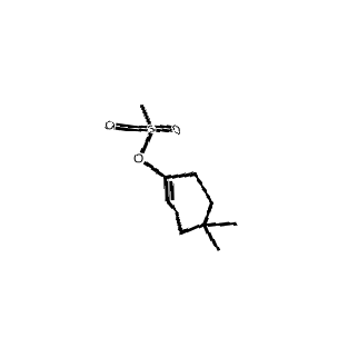 CC1(C)CC=C(OS(C)(=O)=O)CC1